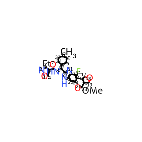 CCc1nocc1C(=O)N[C@H](c1nc2c(F)c(C3COCC3C(=O)OC)ccc2[nH]1)C1CCC(C)CC1